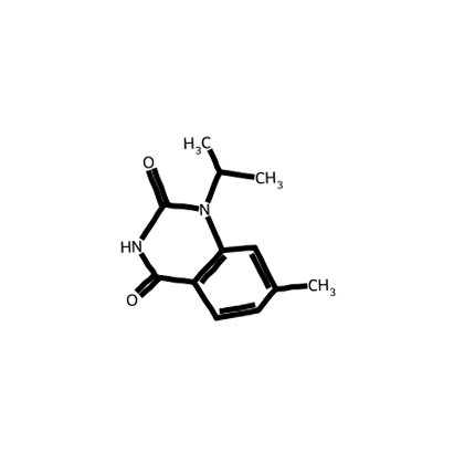 Cc1ccc2c(=O)[nH]c(=O)n(C(C)C)c2c1